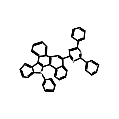 c1ccc(-c2cc(-c3cc4c5ccccc5c5c6ccccc6n(-c6ccccc6)c5c4c4ccccc34)nc(-c3ccccc3)n2)cc1